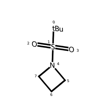 CC(C)(C)S(=O)(=O)N1CCC1